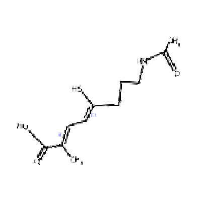 CC(=O)NCCC/C(S)=C/C=C(\C)C(=O)O